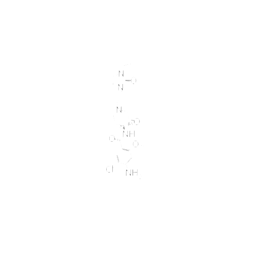 CCN1CCN(CCN2CC[C@H](NC(=O)c3cc(Cl)c(N)cc3OC)[C@H](OC)C2)C1=O